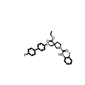 CCOC(=O)C1(COc2ccc(-c3ccc(F)cc3)cc2)CCN(C(=O)Nc2ccccc2F)C1